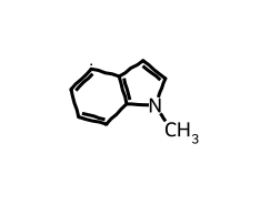 Cn1ccc2[c]cccc21